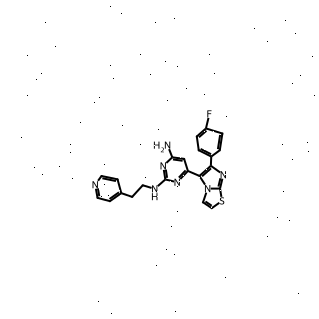 Nc1cc(-c2c(-c3ccc(F)cc3)nc3sccn23)nc(NCCc2ccncc2)n1